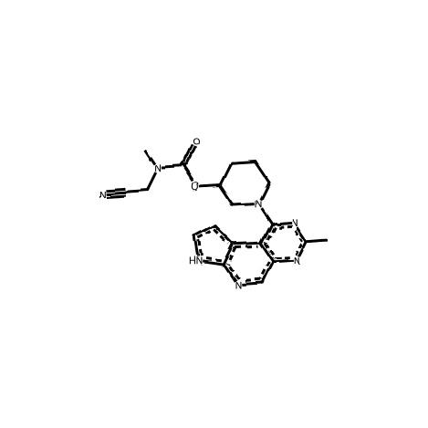 Cc1nc(N2CCCC(OC(=O)N(C)CC#N)C2)c2c(cnc3[nH]ccc32)n1